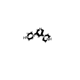 c1ncc(N2CCNCC2)cc1N1CCNCC1